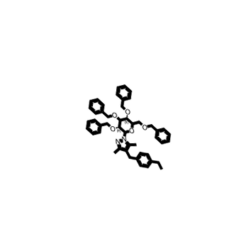 CCc1ccc(Cc2c(C)nn(C3OC(COCc4ccccc4)[C@@H](OCc4ccccc4)C(OCc4ccccc4)[C@H]3OCc3ccccc3)c2C)cc1